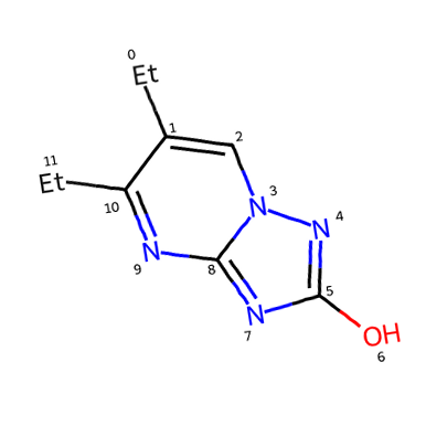 CCc1cn2nc(O)nc2nc1CC